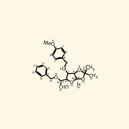 COc1ccc(COC2C3OC(C)(C)O[C@H]3OC2[C@@H](C=O)OCc2ccccc2)cc1